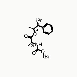 CC(C)[C@H](c1ccccc1)[C@H](C)OC(=O)[C@H](C)NC(=O)OC(C)(C)C